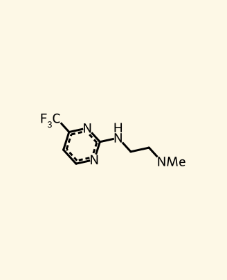 CNCCNc1nccc(C(F)(F)F)n1